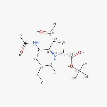 CCC(CC)C[C@H](NC(C)=O)[C@@H]1N[C@@H](C(=O)OC(C)(C)C)C[C@H]1C(C)=O